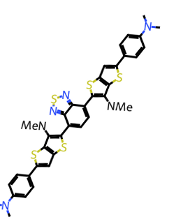 CNc1c(-c2ccc(-c3sc4cc(-c5ccc(N(C)C)cc5)sc4c3NC)c3nsnc23)sc2cc(-c3ccc(N(C)C)cc3)sc12